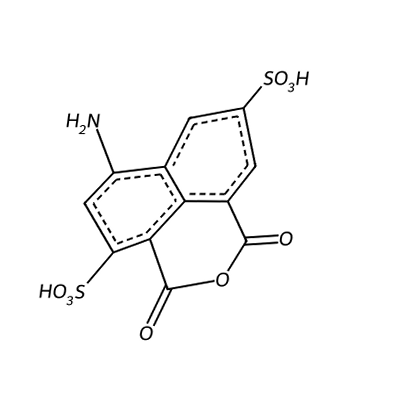 Nc1cc(S(=O)(=O)O)c2c3c(cc(S(=O)(=O)O)cc13)C(=O)OC2=O